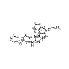 CCOC(=O)c1cnc2nc(Nc3cccc(Oc4ccncc4)c3)nn2c1-c1ccccc1F